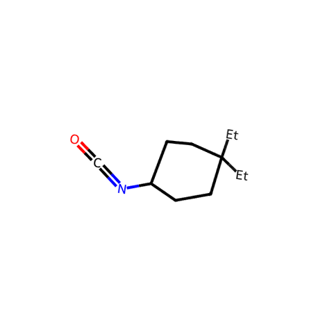 CCC1(CC)CCC(N=C=O)CC1